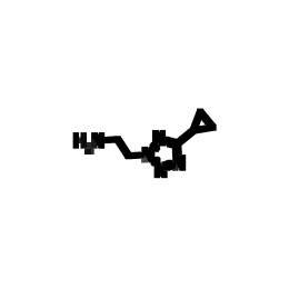 NCCn1nnc(C2CC2)n1